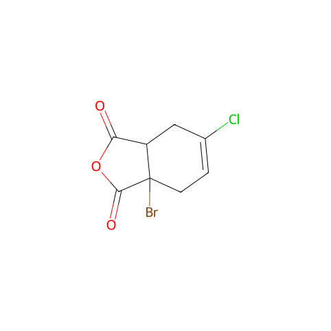 O=C1OC(=O)C2(Br)CC=C(Cl)CC12